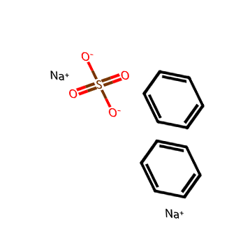 O=S(=O)([O-])[O-].[Na+].[Na+].c1ccccc1.c1ccccc1